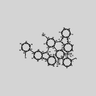 Cc1ccccc1-c1ccc2c3ccccc3n(-c3cc(C#N)cc(-n4c5ccccc5c5ccc(-c6ccccc6C)cc54)c3-c3cc(C#N)cc(C(F)(F)F)c3)c2c1